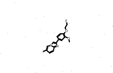 COc1cc(-c2cn3cc(I)ccc3n2)ccc1OCCF